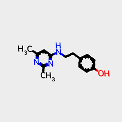 Cc1cc(NCCc2ccc(O)cc2)nc(C)n1